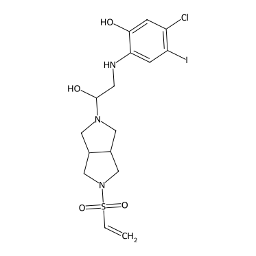 C=CS(=O)(=O)N1CC2CN(C(O)CNc3cc(I)c(Cl)cc3O)CC2C1